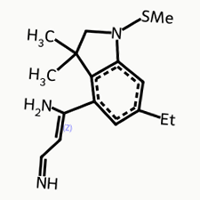 CCc1cc(/C(N)=C/C=N)c2c(c1)N(SC)CC2(C)C